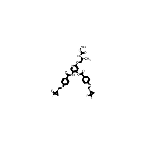 C[C@@H](COc1cc(OC(=O)c2ccc(OC[C@H]3CC3(F)F)cc2)c(NC(=O)c2ccc(OC[C@H]3CC3(F)F)cc2)cn1)NC(=O)OC(C)(C)C